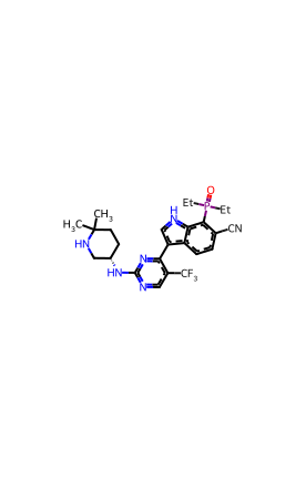 CCP(=O)(CC)c1c(C#N)ccc2c(-c3nc(N[C@H]4CCC(C)(C)NC4)ncc3C(F)(F)F)c[nH]c12